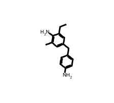 CCc1cc(Cc2ccc(N)cc2)cc(C)c1N